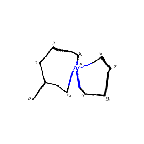 CC1CCC[N+]2(CCCC2)C1